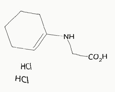 Cl.Cl.O=C(O)CNC1=CCCCC1